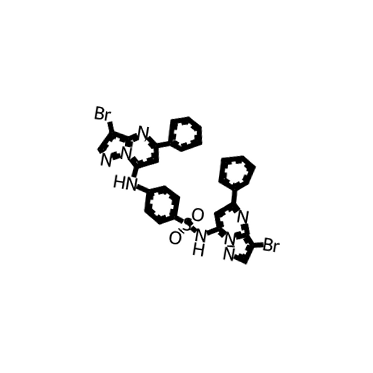 O=S(=O)(Nc1cc(-c2ccccc2)nc2c(Br)cnn12)c1ccc(Nc2cc(-c3ccccc3)nc3c(Br)cnn23)cc1